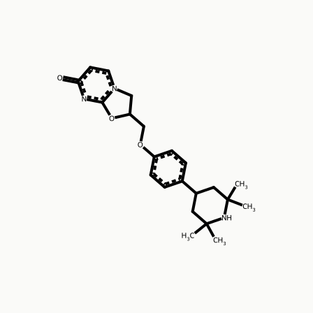 CC1(C)CC(c2ccc(OCC3Cn4ccc(=O)nc4O3)cc2)CC(C)(C)N1